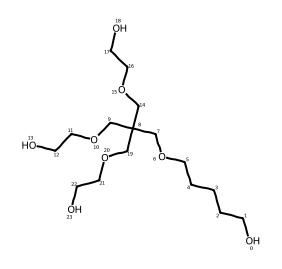 OCCCCCOCC(COCCO)(COCCO)COCCO